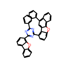 c1ccc(-c2nc(-c3cccc4c3oc3ccccc34)nc(-c3cccc4oc5c6ccccc6c(-c6ccccc6)cc5c34)n2)cc1